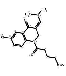 CCCCCCCCCCCCCC(=O)N1C/C(=C/N(C)C)C(=O)c2cc(Cl)ccc21